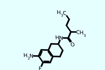 CCCC(C)C(=O)NC1CCc2cc(F)c(N)cc2C1